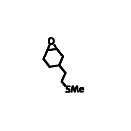 CSCCC1CCC2OC2C1